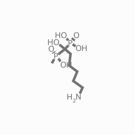 CP(=O)(O)C(O)(CCCCCN)P(=O)(O)O